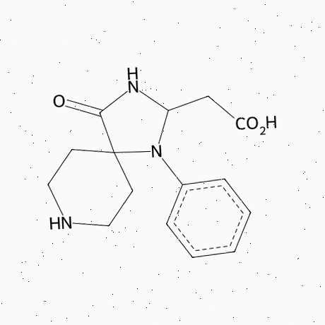 O=C(O)CC1NC(=O)C2(CCNCC2)N1c1ccccc1